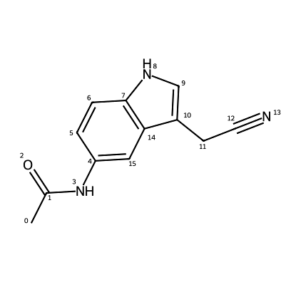 CC(=O)Nc1ccc2[nH]cc(CC#N)c2c1